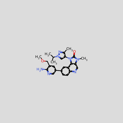 COCc1cc(-c2ccc3ncc4c(c3c2)n(-c2cn(C(C)C)nc2C)c(=O)n4C)cnc1N